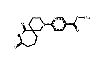 CC(C)(C)OC(=O)c1ccc(N2CCCC3(CCCC(=O)NC3=O)C2)nc1